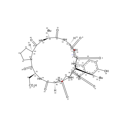 CC[C@H](C)[C@@H]1NC(=O)CNC(=O)[C@@H]2/C=C\c3c([nH]c4cc(O)ccc34)SC[C@H](NC(=O)CNC1=O)C(=O)N[C@@H](CC(=O)O)C(=O)N1CCC[C@H]1C(=O)N[C@@H]([C@@H](C)CC)C(=O)N2